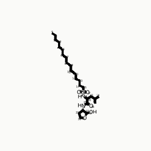 CCCCCCCCCCCCCCCCS(=O)(=O)NC(CC(C)C)C(=O)N[C@H]1CCOC1O